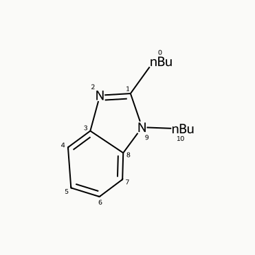 CCCCc1nc2ccccc2n1CCCC